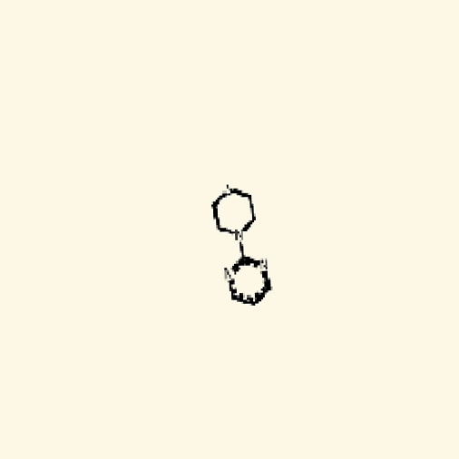 c1cnc(N2CCSCC2)nc1